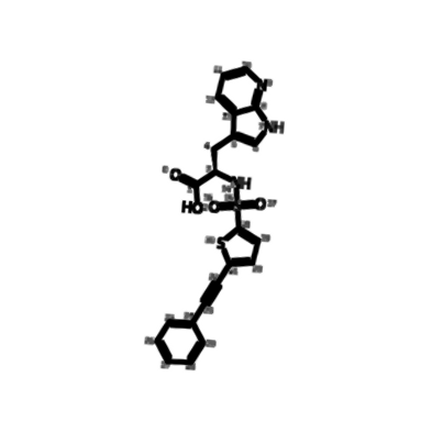 O=C(O)[C@@H](Cc1c[nH]c2ncccc12)NS(=O)(=O)c1ccc(C#Cc2ccccc2)s1